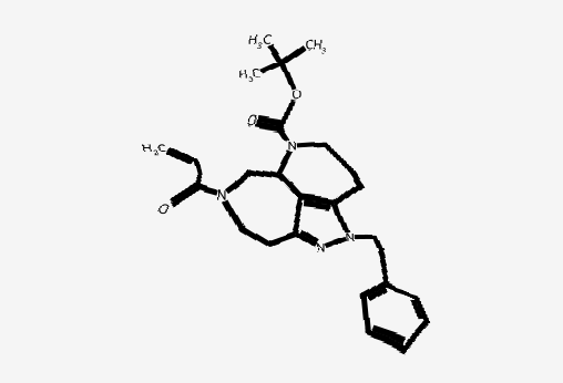 C=CC(=O)N1CCc2nn(Cc3ccccc3)c3c2C(C1)N(C(=O)OC(C)(C)C)CC3